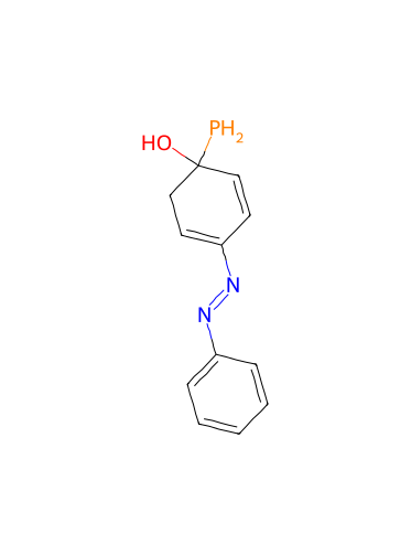 OC1(P)C=CC(N=Nc2ccccc2)=CC1